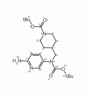 CC(C)(C)OC(=O)N1CCC(CN(C(=O)OC(C)(C)C)c2ccc(N)nc2)CC1